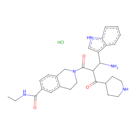 CCNC(=O)c1ccc2c(c1)CCN(C(=O)C(C(=O)C1CCNCC1)C(N)c1c[nH]c3ccccc13)C2.Cl